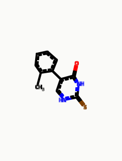 Cc1ccccc1-c1c[nH]c(=S)[nH]c1=O